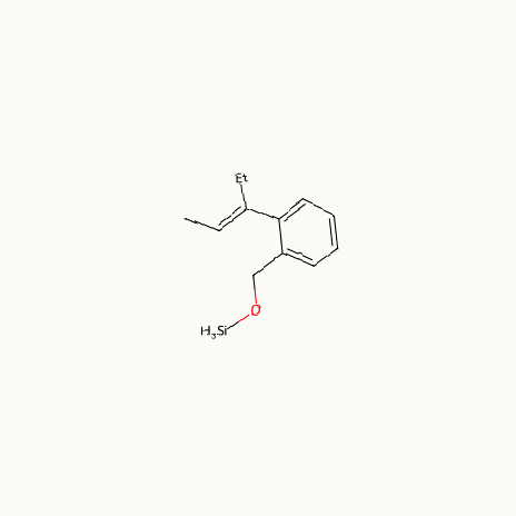 CC=C(CC)c1ccccc1CO[SiH3]